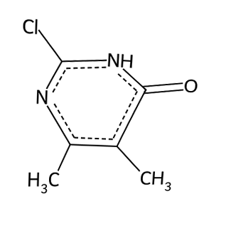 Cc1nc(Cl)[nH]c(=O)c1C